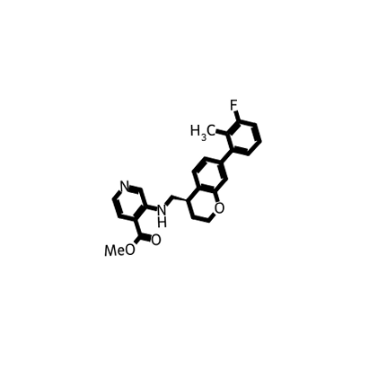 COC(=O)c1ccncc1NC[C@@H]1CCOc2cc(-c3cccc(F)c3C)ccc21